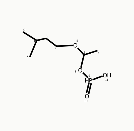 CC(C)CCOC(C)O[PH](=O)O